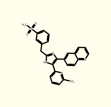 Cc1cccc(-c2[nH]c(Cc3cccc(S(C)(=O)=O)c3)nc2-c2ccc3ncccc3c2)n1